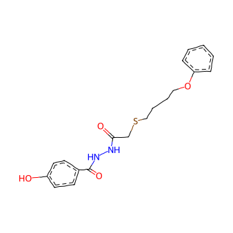 O=C(CSCCCCOc1ccccc1)NNC(=O)c1ccc(O)cc1